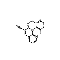 Cc1ccnc(C(C)C)c1-n1c(=O)c(C#N)cc2cccnc21